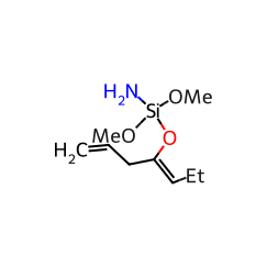 C=CCC(=CCC)O[Si](N)(OC)OC